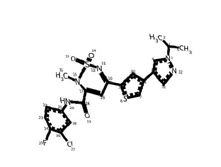 CC(C)n1cc(-c2csc(C3=NS(=O)(=O)N(C)C(C(=O)Nc4ccc(F)c(Cl)c4)=C3)c2)cn1